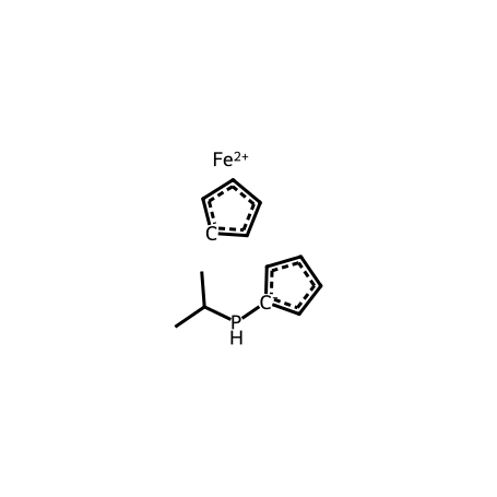 CC(C)P[c-]1cccc1.[Fe+2].c1cc[cH-]c1